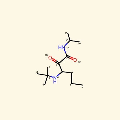 CCCC(NC(C)(C)C)C(=O)C(=O)NC(C)C